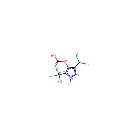 Cn1nc(C(F)F)c(OC(=O)O)c1C(F)(F)Cl